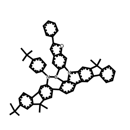 CC(C)(C)c1ccc(N2B3c4cc5cc(-c6ccccc6)oc5cc4-n4c5cc6c(cc5c5ccc(c3c54)-c3cc4c(cc32)-c2ccc(C(C)(C)C)cc2C4(C)C)-c2ccccc2C6(C)C)cc1